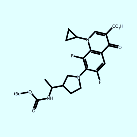 CC(NC(=O)OC(C)(C)C)C1CCN(c2c(F)cc3c(=O)c(C(=O)O)cn(C4CC4)c3c2F)C1